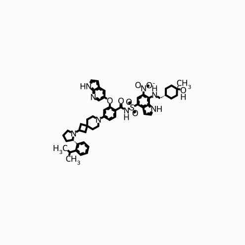 CC(C)c1ccccc1[C@@H]1CCCN1C1CC2(CCN(c3ccc(C(=O)NS(=O)(=O)c4cc([N+](=O)[O-])c(NC[C@H]5CC[C@](C)(O)CC5)c5[nH]ccc45)c(Oc4cnc5[nH]ccc5c4)c3)CC2)C1